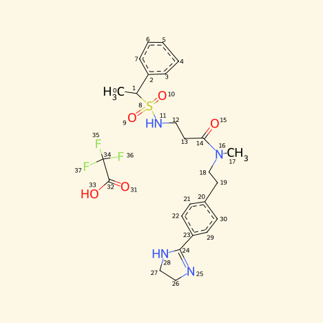 CC(c1ccccc1)S(=O)(=O)NCCC(=O)N(C)CCc1ccc(C2=NCCN2)cc1.O=C(O)C(F)(F)F